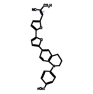 CCCCCCCCc1ccc(N2CCCc3cc(-c4ccc(-c5ccc(/C=C(\C#N)C(=O)O)o5)o4)ccc32)cc1